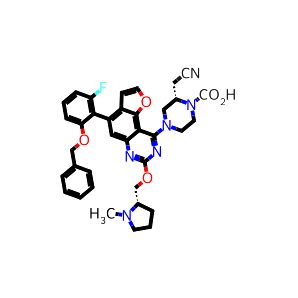 CN1CCC[C@H]1COc1nc(N2CCN(C(=O)O)[C@@H](CC#N)C2)c2c(cc(-c3c(F)cccc3OCc3ccccc3)c3ccoc32)n1